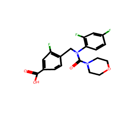 O=C(O)c1ccc(CN(C(=O)N2CCOCC2)c2ccc(F)cc2F)c(F)c1